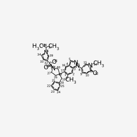 Cc1cc2c(cnn2-c2ccc(=O)n(C)c2)cc1C1(Cc2ccccc2)CCN(S(=O)(=O)c2ccn(C(C)C)c2)C1